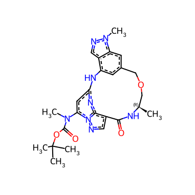 C[C@@H]1COCc2cc(c3cnn(C)c3c2)Nc2cc(N(C)C(=O)OC(C)(C)C)n3ncc(c3n2)C(=O)N1